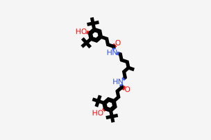 CC(CCCNC(=O)CCc1cc(C(C)(C)C)c(O)c(C(C)(C)C)c1)CCNC(=O)CCc1cc(C(C)(C)C)c(O)c(C(C)(C)C)c1